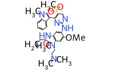 C=CC(=O)Nc1cc(Nc2ncc(S(C)(=O)=O)c(-c3cn(C)c4ccccc34)n2)c(OC)cc1N(C)CCN(C)C